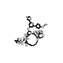 CC[C@@H]1OCCCC=C[C@@H]2C[C@@]2(C(=O)NS(=O)(=O)C2(C)CC2)NC(=O)[C@@H]2C[C@@H](Oc3cc(-c4ccc(OC(C)C)cc4)nc(-c4cncs4)c3)CN2C(=O)[C@H]1N(C(=O)O)C1(C(F)(F)F)CCCOC1